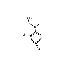 CN(CC=O)c1c[nH]c(=O)cc1Cl